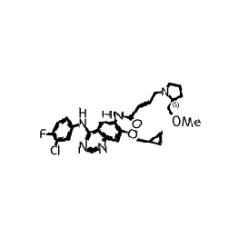 COC[C@@H]1CCCN1CC=CC(=O)Nc1cc2c(Nc3ccc(F)c(Cl)c3)ncnc2cc1OCC1CC1